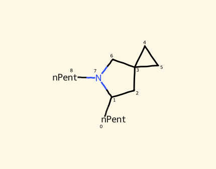 CCCCCC1CC2(CC2)CN1CCCCC